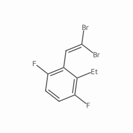 CCc1c(F)ccc(F)c1C=C(Br)Br